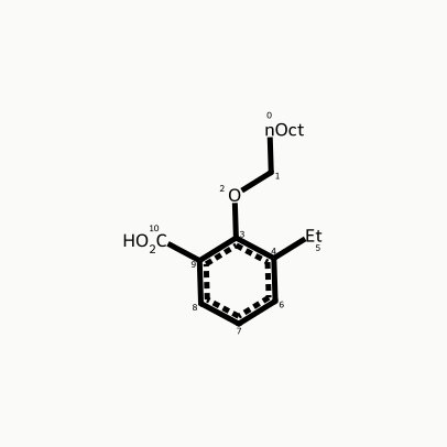 CCCCCCCCCOc1c(CC)cccc1C(=O)O